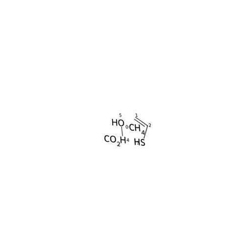 C.C=CS.O=C(O)O